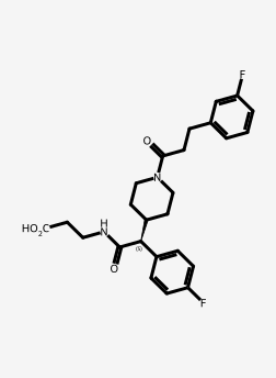 O=C(O)CCNC(=O)[C@H](c1ccc(F)cc1)C1CCN(C(=O)CCc2cccc(F)c2)CC1